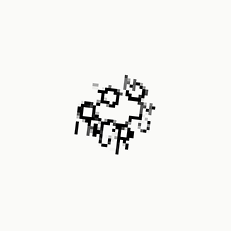 Cc1cc(CC(=O)N(C)C2=CCN(C)C=C2)c(/C=C2\C(=O)Nc3cccc(-c4ccccc4F)c32)[nH]1